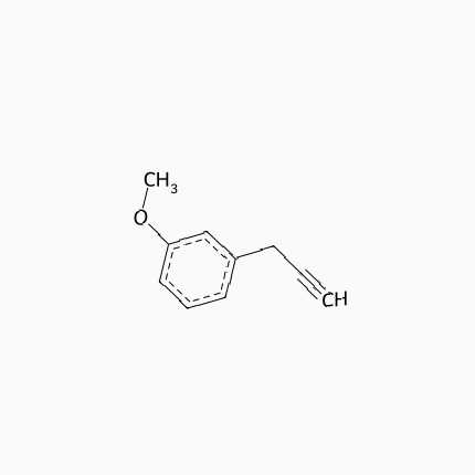 C#CCc1cccc(OC)c1